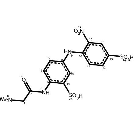 CNCC(=O)Nc1ccc(Nc2ccc(S(=O)(=O)O)cc2[N+](=O)[O-])cc1S(=O)(=O)O